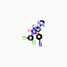 CN1C(=O)N(c2cc(Cl)cc(Cl)c2)C(=O)[C@]12CN(c1ncccn1)C[C@H]2c1ccc(C#N)cc1